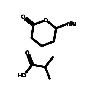 CC(C)C(=O)O.CCCCC1CCCC(=O)O1